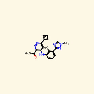 CNC(=O)c1nnc(C23CC(C2)C3)cc1Nc1cccc(-c2ncn(C)n2)c1OC